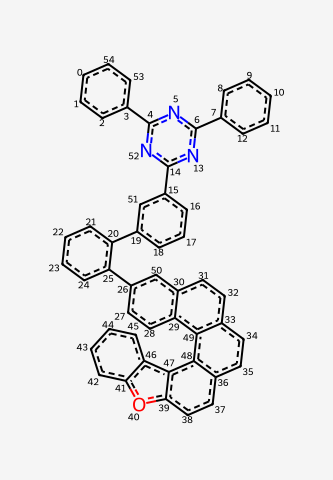 c1ccc(-c2nc(-c3ccccc3)nc(-c3cccc(-c4ccccc4-c4ccc5c(ccc6ccc7ccc8oc9ccccc9c8c7c65)c4)c3)n2)cc1